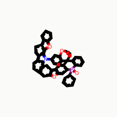 O=P1(c2ccccc2)c2ccccc2C2(c3ccccc3Oc3cc(-n4c5ccccc5c5ccc6c7ccccc7oc6c54)ccc32)c2cc3c(cc21)oc1ccccc13